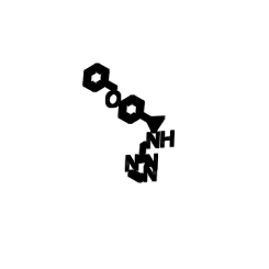 c1ccc(COc2ccc(C3CC3NCc3nccnn3)cc2)cc1